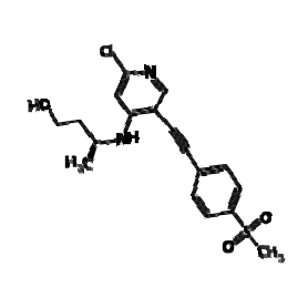 C[C@@H](CCO)Nc1cc(Cl)ncc1C#Cc1ccc(S(C)(=O)=O)cc1